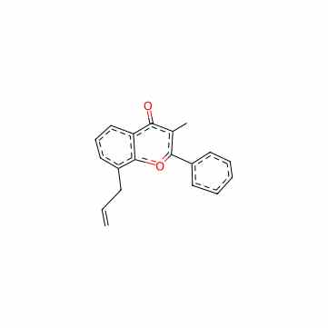 C=CCc1cccc2c(=O)c(C)c(-c3ccccc3)oc12